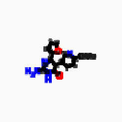 COc1ccc(-c2c(-c3ccco3)nc(N)[nH]c2=O)cn1